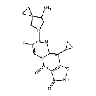 NC1CN(c2nc3c(C4CC4)c4s[nH]c(=O)c4c(=O)n3cc2F)CC12CC2